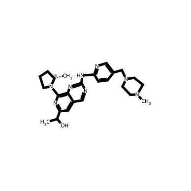 CC(O)c1cc2cnc(Nc3ccc(CN4CCN(C)CC4)cn3)nc2c(N2CCC[C@@H]2C)n1